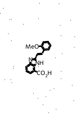 COc1ccccc1C=Cc1nc2cccc(C(=O)O)c2[nH]1